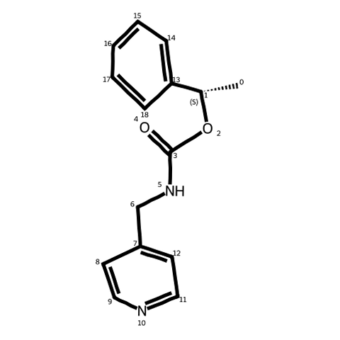 C[C@H](OC(=O)NCc1ccncc1)c1ccccc1